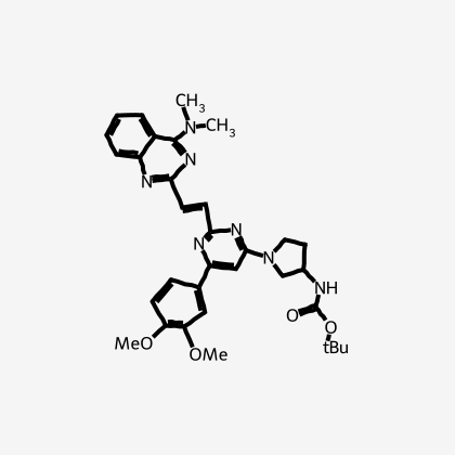 COc1ccc(-c2cc(N3CCC(NC(=O)OC(C)(C)C)C3)nc(/C=C/c3nc(N(C)C)c4ccccc4n3)n2)cc1OC